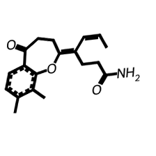 C/C=C\C(CCC(N)=O)=C1/CCC(=O)c2ccc(C)c(C)c2O1